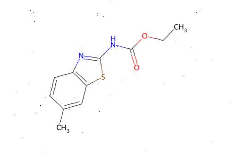 CCOC(=O)Nc1nc2ccc(C)cc2s1